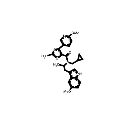 COc1ccc2[nH]cc(CC(C)N(CC3CC3)C(=O)c3nc(C)sc3-c3ccc(OC)nc3)c2c1